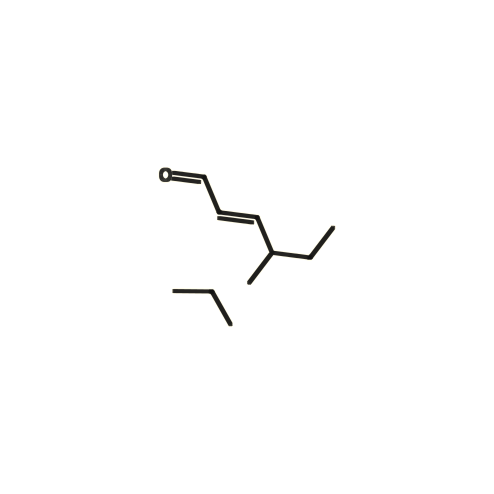 CCC.CCC(C)C=CC=O